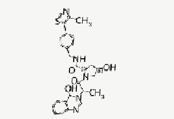 Cc1ncsc1-c1ccc(CNC(=O)[C@@H]2C[C@@H](O)CN2C(=O)C(C)N2C=Nc3ccccc3C2O)cc1